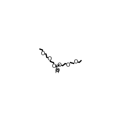 CCOCCOCCO[PH](=O)OCCOCCOCC